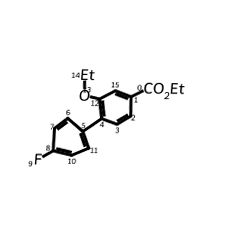 CCOC(=O)c1ccc(-c2ccc(F)cc2)c(OCC)c1